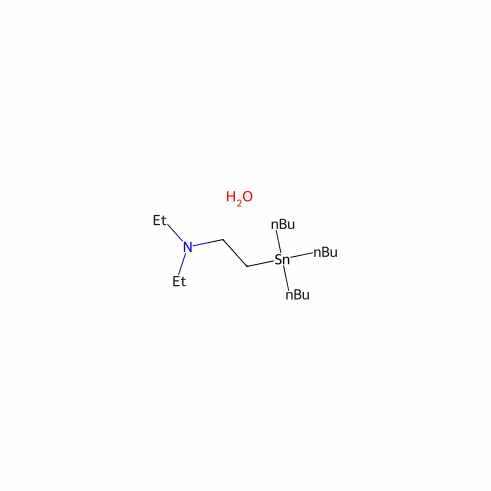 CCC[CH2][Sn]([CH2]CCC)([CH2]CCC)[CH2]CN(CC)CC.O